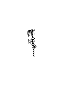 CCCCCCCCCOC(=O)c1ccc(NC(=O)NC2CC(C)(C)CC(C)(CNC(=O)Nc3nc(=O)cc(C)[nH]3)C2)cc1